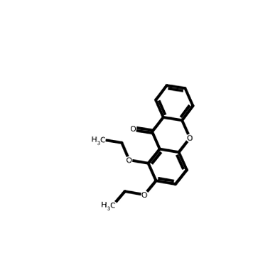 CCOc1ccc2oc3ccccc3c(=O)c2c1OCC